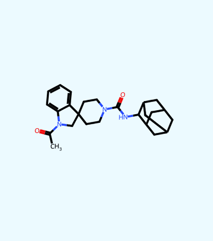 CC(=O)N1CC2(CCN(C(=O)NC3C4CC5CC(C4)CC3C5)CC2)c2ccccc21